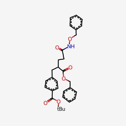 CC(C)(C)OC(=O)c1ccc(CC(CCC(=O)NOCc2ccccc2)C(=O)OCc2ccccc2)cc1